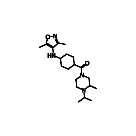 Cc1noc(C)c1NC1CCC(C(=O)N2CCN(C(C)C)C(C)C2)CC1